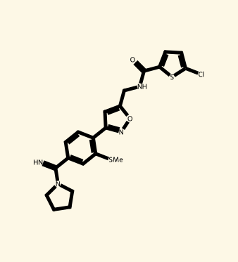 CSc1cc(C(=N)N2CCCC2)ccc1-c1cc(CNC(=O)c2ccc(Cl)s2)on1